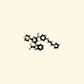 FC(F)c1nc2ccccc2n1-c1cc(N[C@H]2CC[C@H](OCCCN3CCCC3)CC2)nc(N2CCOCC2)n1